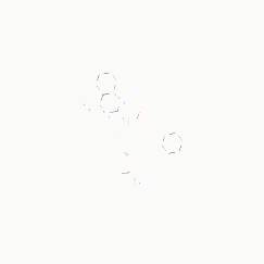 CN(C)c1nc(N(C(=O)OCc2ccccc2)[C@H]2CCC[C@H](OC(N)=O)C2)nc2ccccc12